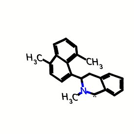 Cc1ccc(C2Cc3ccccc3[C]N2C)c2c(C)cccc12